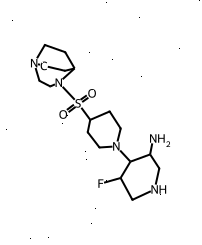 NC1CNCC(F)C1N1CCC(S(=O)(=O)N2CCN3CCC2CC3)CC1